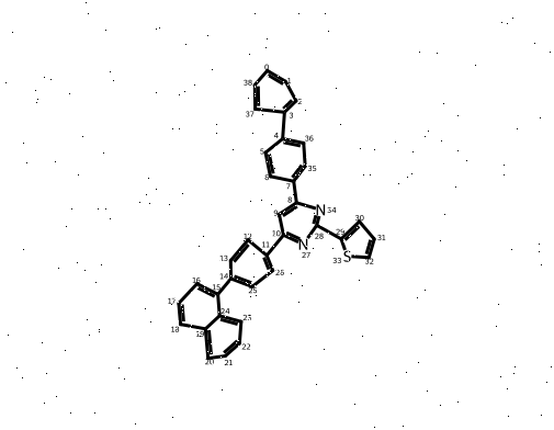 c1ccc(-c2ccc(-c3cc(-c4ccc(-c5cccc6ccccc56)cc4)nc(-c4cccs4)n3)cc2)cc1